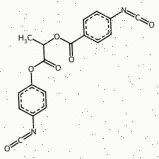 CC(OC(=O)c1ccc(N=C=O)cc1)C(=O)Oc1ccc(N=C=O)cc1